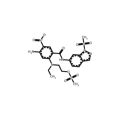 CCN(CCOS(C)(=O)=O)c1cc(N)c([N+](=O)[O-])cc1C(=O)Nc1ccc2cnn(S(C)(=O)=O)c2c1